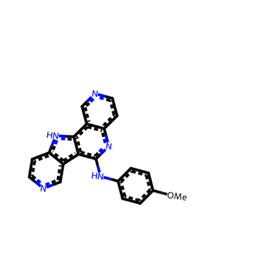 COc1ccc(Nc2nc3ccncc3c3[nH]c4ccncc4c23)cc1